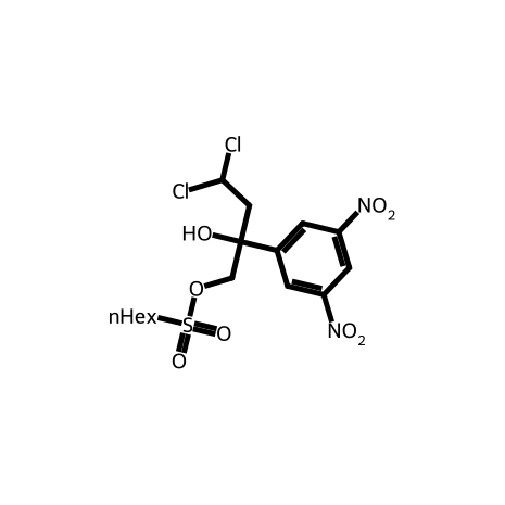 CCCCCCS(=O)(=O)OCC(O)(CC(Cl)Cl)c1cc([N+](=O)[O-])cc([N+](=O)[O-])c1